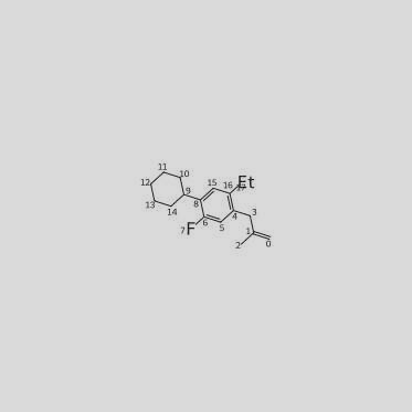 C=C(C)Cc1cc(F)c(C2CCCCC2)cc1CC